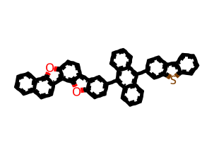 c1ccc2c(c1)ccc1c2oc2ccc3c4cc(-c5c6ccccc6c(-c6ccc7c(c6)sc6ccccc67)c6ccccc56)ccc4oc3c21